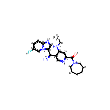 N=C(c1cnc(C(=O)N2CCCCCC2)cc1NCC(F)(F)F)c1cnc2ccc(F)cn12